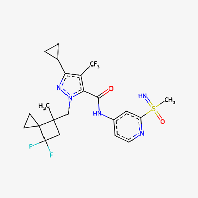 CC1(Cn2nc(C3CC3)c(C(F)(F)F)c2C(=O)Nc2ccnc(S(C)(=N)=O)c2)CC(F)(F)C12CC2